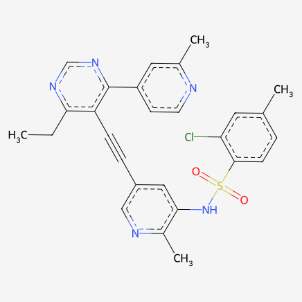 CCc1ncnc(-c2ccnc(C)c2)c1C#Cc1cnc(C)c(NS(=O)(=O)c2ccc(C)cc2Cl)c1